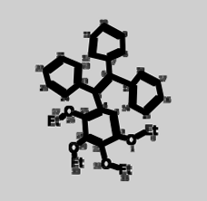 CCOc1cc(C(=C(c2ccccc2)c2ccccc2)c2ccccc2)c(OCC)c(OCC)c1OCC